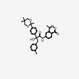 Cc1cccc(CC(O)(C(=O)Nc2ccc3c(=O)onc(C)c3c2)c2ccc(C3(C)OCC(C)(C)CO3)cc2)c1